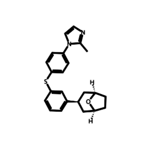 Cc1nccn1-c1ccc(Sc2cccc([C@H]3C[C@H]4CC[C@@H](C3)O4)c2)cc1